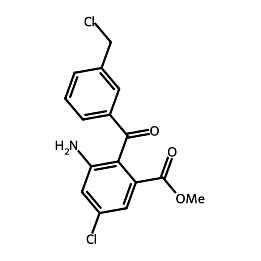 COC(=O)c1cc(Cl)cc(N)c1C(=O)c1cccc(CCl)c1